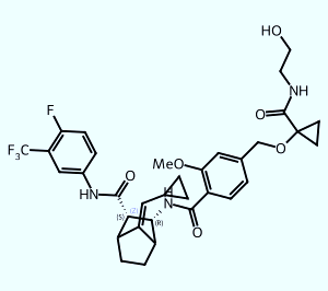 COc1cc(COC2(C(=O)NCCO)CC2)ccc1C(=O)N[C@@H]1C2CCC(/C2=C/C2CC2)[C@@H]1C(=O)Nc1ccc(F)c(C(F)(F)F)c1